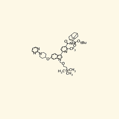 CC(C)(C)OC(=O)C1(NC(=O)c2ccc(-c3cn(COCC[Si](C)(C)C)c4cc(OC5CCN(c6ncccn6)CC5)ccc34)nc2C(F)(F)F)C2CC3CC(C2)CC1C3